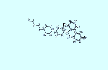 CCCCC[C@H]1CC[C@H](c2ccc(C(Cc3ccc(F)cc3)c3ccccc3)c(F)c2)CC1